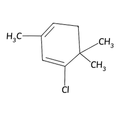 CC1=CCC(C)(C)C(Cl)=C1